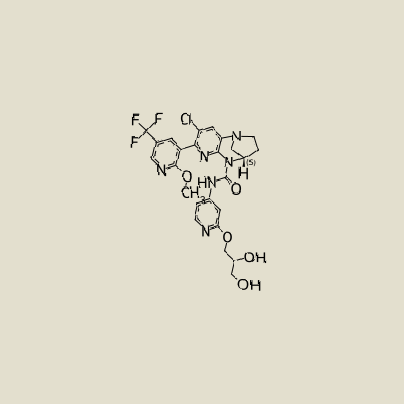 COc1ncc(C(F)(F)F)cc1-c1nc2c(cc1Cl)N1CC[C@@H](C1)N2C(=O)Nc1ccnc(OCC(O)CO)c1